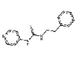 S=C(NCCc1ccccc1)Nc1ccncc1